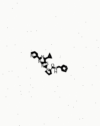 O=C(NCc1ccccc1)[C@H]1CCCN1c1nc2nc(-c3cccnc3)nc(C3CC3)c2s1